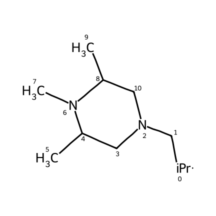 C[C](C)CN1CC(C)N(C)C(C)C1